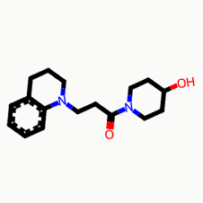 O=C(CCN1CCCc2ccccc21)N1CCC(O)CC1